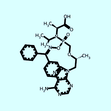 CC(C)N([C@@H](C)C(=O)O)P(=O)(CO[C@H](C)Cn1cnc2c(N)ncnc21)ON=C(c1ccccc1)c1ccccc1